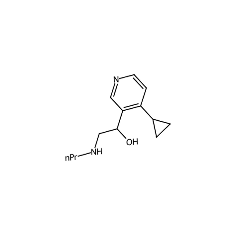 CCCNCC(O)c1cnccc1C1CC1